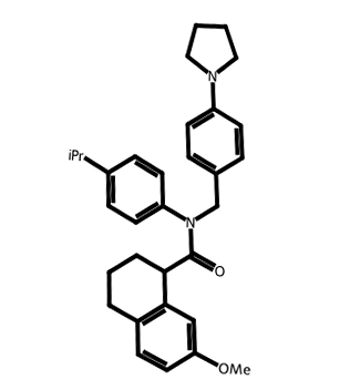 COc1ccc2c(c1)C(C(=O)N(Cc1ccc(N3CCCC3)cc1)c1ccc(C(C)C)cc1)CCC2